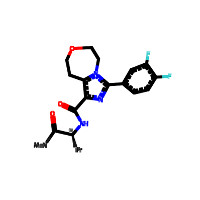 CNC(=O)[C@@H](NC(=O)c1nc(-c2ccc(F)c(F)c2)n2c1CCOCC2)C(C)C